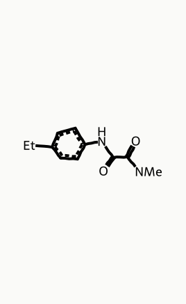 CCc1ccc(NC(=O)C(=O)NC)cc1